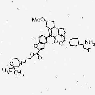 COC1CCC([C@@H]2CCN(C(=O)[C@H]3CC[C@H]([C@H](N)CF)CC3)[C@@H]2C(=O)Nc2ccc3oc(C(=O)OCCCN4CCOC(C)(C)C4)cc3c2)CC1